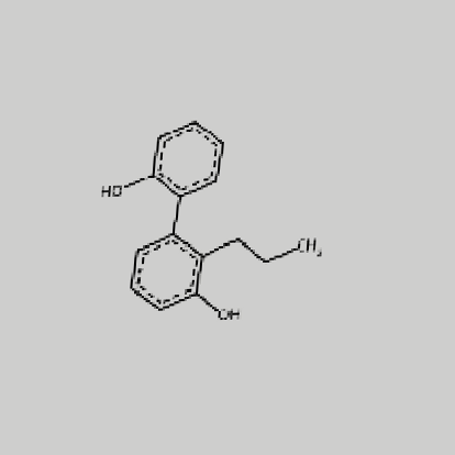 CCCc1c(O)cccc1-c1ccccc1O